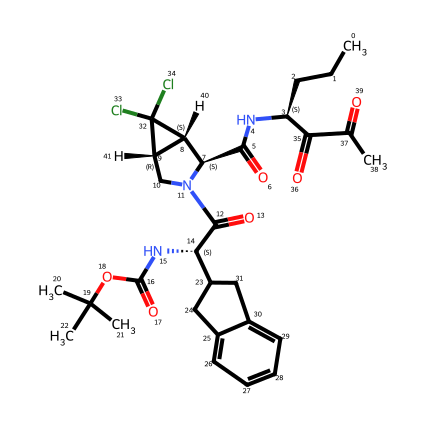 CCC[C@H](NC(=O)[C@@H]1[C@@H]2[C@H](CN1C(=O)[C@@H](NC(=O)OC(C)(C)C)C1Cc3ccccc3C1)C2(Cl)Cl)C(=O)C(C)=O